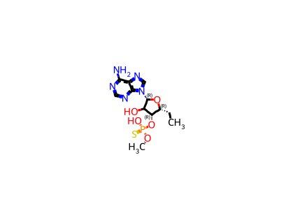 CC[C@H]1O[C@@H](n2cnc3c(N)ncnc32)C(O)[C@H]1OP(O)(=S)OC